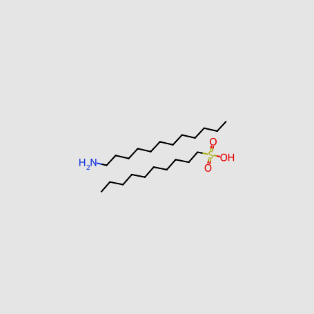 CCCCCCCCCCCCN.CCCCCCCCCCS(=O)(=O)O